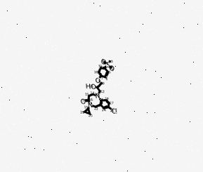 CS(=O)(=O)c1ccc(OC[C@H](O)CN2CCC(=O)N(C3CC3)Cc3cc(Cl)ccc32)cc1